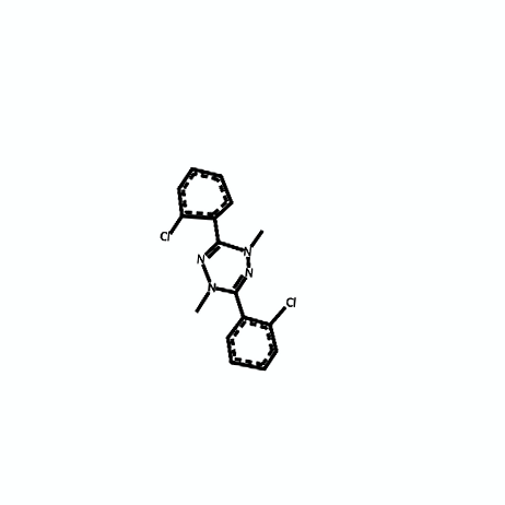 CN1N=C(c2ccccc2Cl)N(C)N=C1c1ccccc1Cl